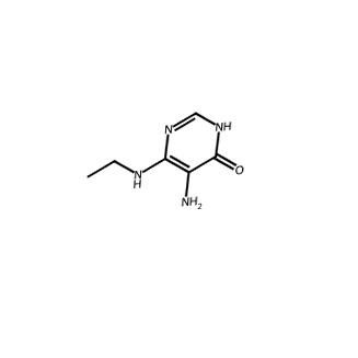 CCNc1nc[nH]c(=O)c1N